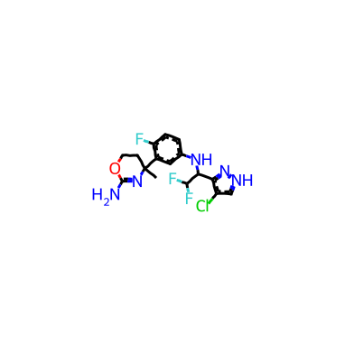 CC1(c2cc(NC(c3n[nH]cc3Cl)C(F)F)ccc2F)CCOC(N)=N1